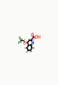 O=C(O)c1cc(OCC(F)F)c2ccccc2n1